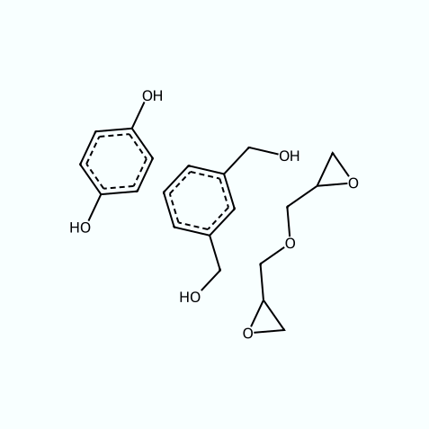 C(OCC1CO1)C1CO1.OCc1cccc(CO)c1.Oc1ccc(O)cc1